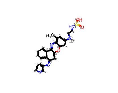 CCN(CCNS(=O)O)c1cc(C)c2nc3c4ccccc4/c(=N\c4cccnc4)cc-3oc2c1